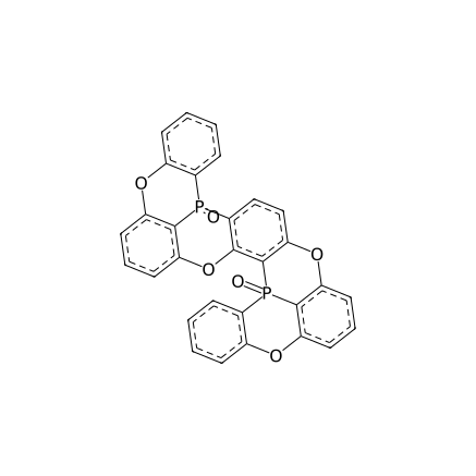 O=P12c3ccccc3Oc3cccc(c31)Oc1c2ccc2c1P1(=O)c3ccccc3Oc3cccc(c31)O2